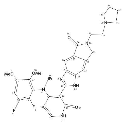 COc1cc(F)c(F)c(N(c2cc[nH]c(=O)c2-c2nc3cc4c(cc3[nH]2)CN(CCN2CCCC2)C4=O)C(C)C)c1OC